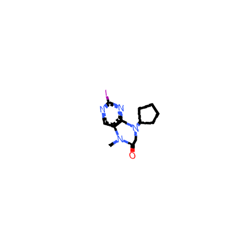 CN1C(=O)CN(C2CCCC2)c2nc(I)ncc21